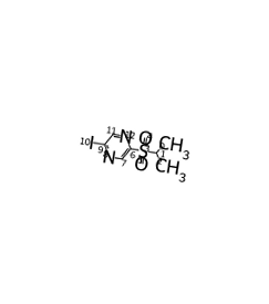 CC(C)S(=O)(=O)c1cnc(I)cn1